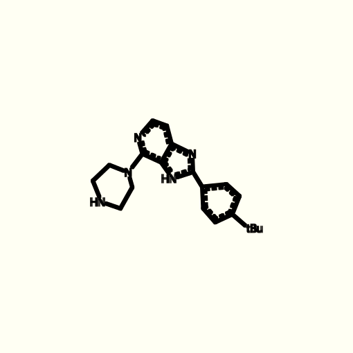 CC(C)(C)c1ccc(-c2nc3ccnc(N4CCNCC4)c3[nH]2)cc1